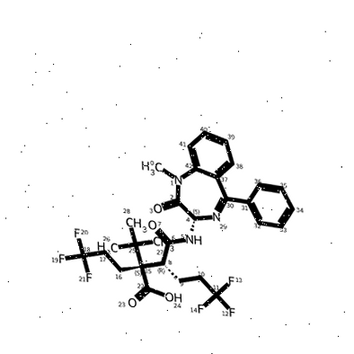 CN1C(=O)[C@@H](NC(=O)[C@H](CCC(F)(F)F)[C@](CCC(F)(F)F)(C(=O)O)C(C)(C)C)N=C(c2ccccc2)c2ccccc21